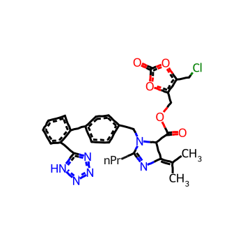 CCCC1=NC(=C(C)C)C(C(=O)OCc2oc(=O)oc2CCl)N1Cc1ccc(-c2ccccc2-c2nnn[nH]2)cc1